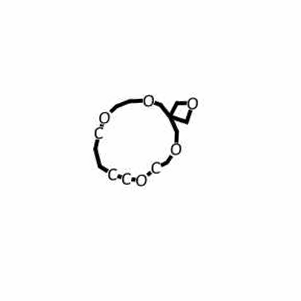 C1CCOCCOCC2(COCCOCC1)COC2